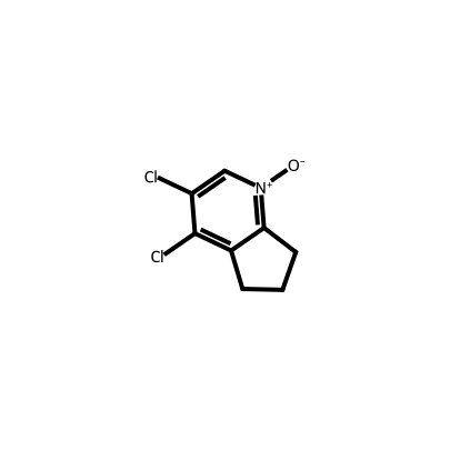 [O-][n+]1cc(Cl)c(Cl)c2c1CCC2